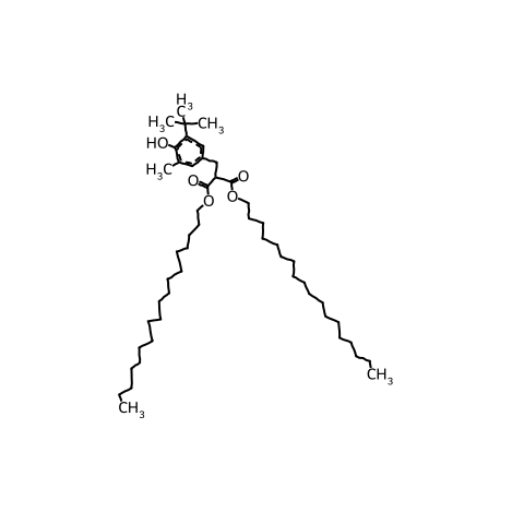 CCCCCCCCCCCCCCCCCCOC(=O)C(Cc1cc(C)c(O)c(C(C)(C)C)c1)C(=O)OCCCCCCCCCCCCCCCCCC